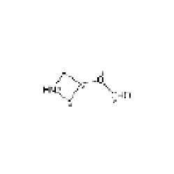 O=COC1CNC1